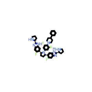 Fc1cc2nc([C@@H]3CCCN3)[nH]c2cc1[C@H]1CC[C@@H](c2cc3[nH]c([C@@H]4CCCN4)nc3cc2F)N1c1cc(F)c(N2CCC(c3ccccc3)CC2)c(F)c1